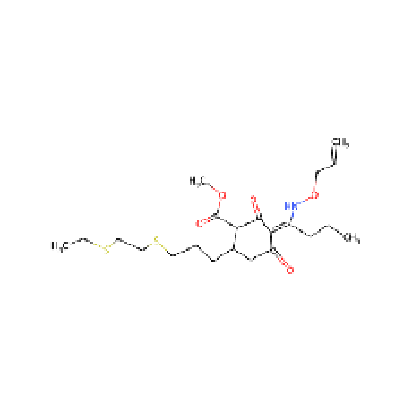 C=CCONC(CCC)=C1C(=O)CC(CCCSCCSCC)C(C(=O)OC)C1=O